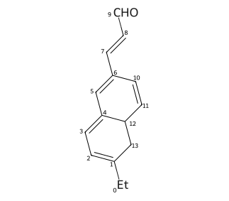 CCC1=CC=C2C=C(/C=C/C=O)C=CC2C1